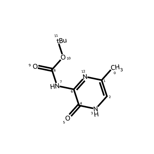 Cc1c[nH]c(=O)c(NC(=O)OC(C)(C)C)n1